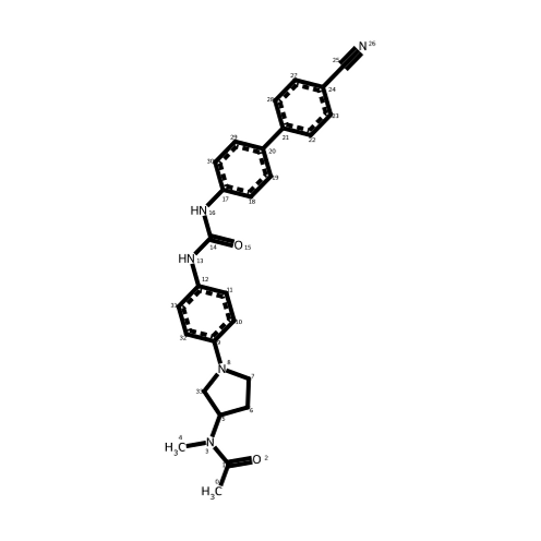 CC(=O)N(C)C1CCN(c2ccc(NC(=O)Nc3ccc(-c4ccc(C#N)cc4)cc3)cc2)C1